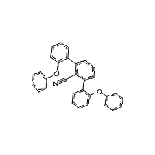 N#Cc1c(-c2ccccc2Oc2ccccc2)cccc1-c1ccccc1Oc1ccccc1